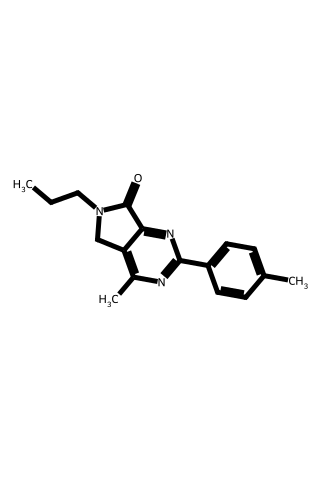 CCCN1Cc2c(C)nc(-c3ccc(C)cc3)nc2C1=O